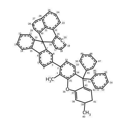 Cc1c(-c2ccc3c(c2)C2(c4ccccc4-3)c3ccccc3-c3cccc4cccc2c34)ccc2c1OC1=CC(C)CC=C1C2(c1ccccc1)c1ccccc1